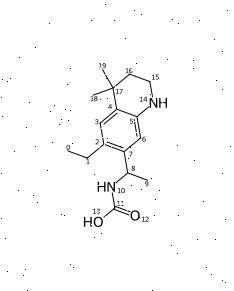 CCc1cc2c(cc1C(C)NC(=O)O)NCCC2(C)C